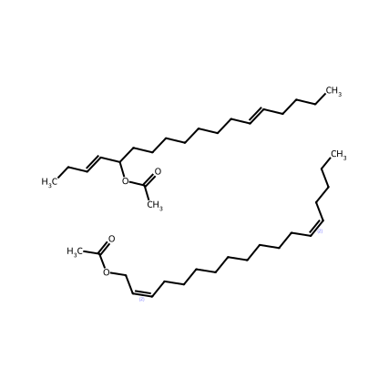 CCC=CC(CCCCCCCC=CCCCC)OC(C)=O.CCCC/C=C\CCCCCCCCC/C=C\COC(C)=O